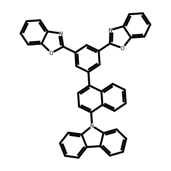 c1ccc2oc(-c3cc(-c4nc5ccccc5o4)cc(-c4ccc(-n5c6ccccc6c6ccccc65)c5ccccc45)c3)nc2c1